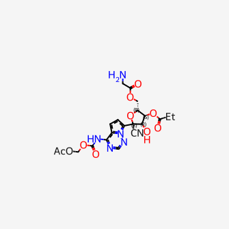 CCC(=O)O[C@H]1[C@@H](O)[C@](C#N)(c2ccc3c(NC(=O)OCOC(C)=O)ncnn23)O[C@@H]1COC(=O)CN